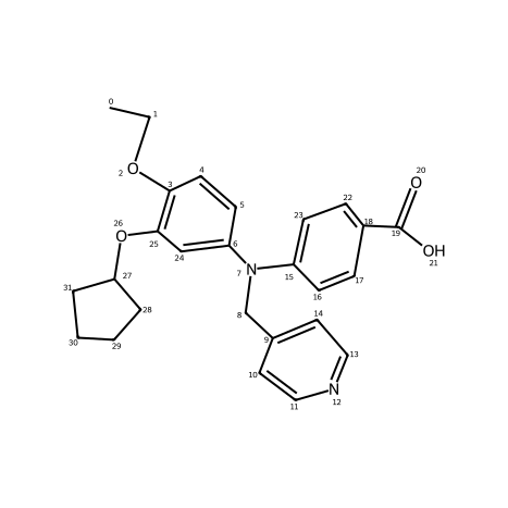 CCOc1ccc(N(Cc2ccncc2)c2ccc(C(=O)O)cc2)cc1OC1CCCC1